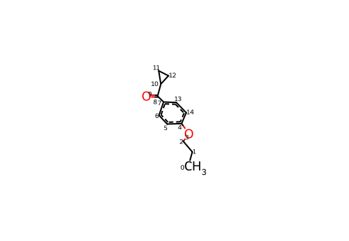 CCCOc1ccc(C(=O)C2CC2)cc1